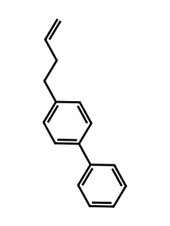 C=CCCc1ccc(-c2ccccc2)cc1